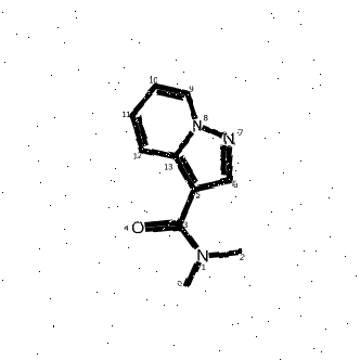 CN(C)C(=O)c1cnn2ccccc12